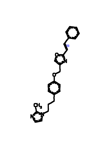 Cc1nccn1CCCc1ccc(OCc2coc(/C=C/c3ccccc3)n2)cc1